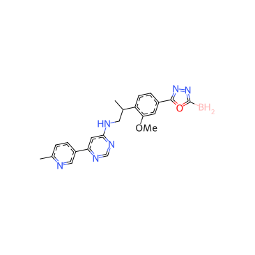 Bc1nnc(-c2ccc(C(C)CNc3cc(-c4ccc(C)nc4)ncn3)c(OC)c2)o1